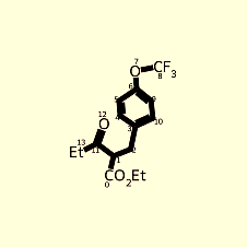 CCOC(=O)C(Cc1ccc(OC(F)(F)F)cc1)C(=O)CC